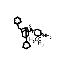 CC1(C)CN(C(=S)C23CC4CC(c5ccccc5)(CC(C2)C4Cc2ccccc2)C3)CC[C@@H]1N